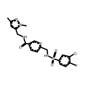 Cc1cc(CNC(=O)c2ccc(CNS(=O)(=O)c3ccc(F)c(Cl)c3)nc2)n(C)n1